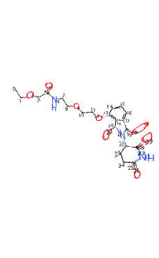 CCOCC(=O)NCCOCCOc1cccc2c1C(=O)N(C1CCC(=O)NC1=O)C2=O